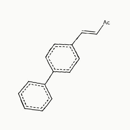 CC(=O)C=Cc1ccc(-c2ccccc2)cc1